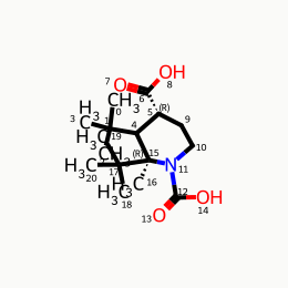 CC(C)(C)C1[C@H](C(=O)O)CCN(C(=O)O)[C@@]1(C)C(C)(C)C